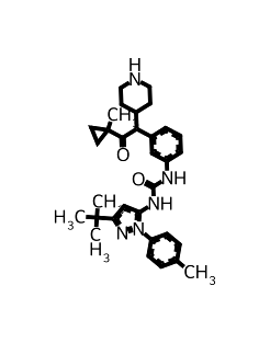 Cc1ccc(-n2nc(C(C)(C)C)cc2NC(=O)Nc2cccc(C(C(=O)C3(C)CC3)C3CCNCC3)c2)cc1